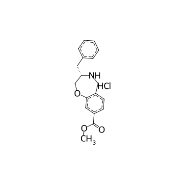 COC(=O)c1ccc2c(c1)OC[C@H](Cc1ccccc1)NC2.Cl